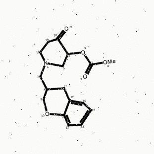 COC(=O)OC1CN(CC2COc3ccccc3C2)CCC1=O